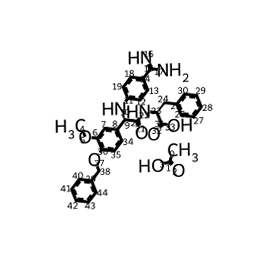 CC(=O)O.COc1cc([C@@H](Nc2ccc(C(=N)N)cc2)C(=O)N[C@@H](Cc2ccccc2)C(=O)O)ccc1OCc1ccccc1